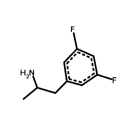 CC(N)Cc1cc(F)cc(F)c1